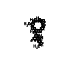 C[C@@H]1C[C@H]2C(=O)O[C@@H](C)[C@H](NC(=O)[C@H](Cc3cc(F)cc(F)c3)NC(=O)Nc3ccc4c(c3)CCN4C)C(=O)N3CCC[C@H]3C(=O)N3CCOC[C@H]3C(=O)N[C@@H](C)C(=O)N2C1